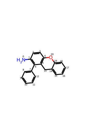 Nc1ccc2c(c1-c1ccccc1)Cc1ccccc1O2